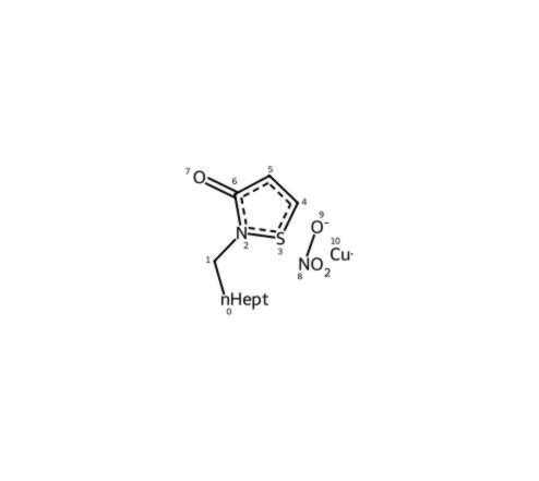 CCCCCCCCn1sccc1=O.O=[N+]([O-])[O-].[Cu]